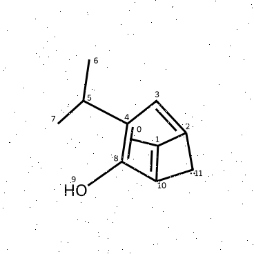 Cc1c2cc(C(C)C)c(O)c1[C]2